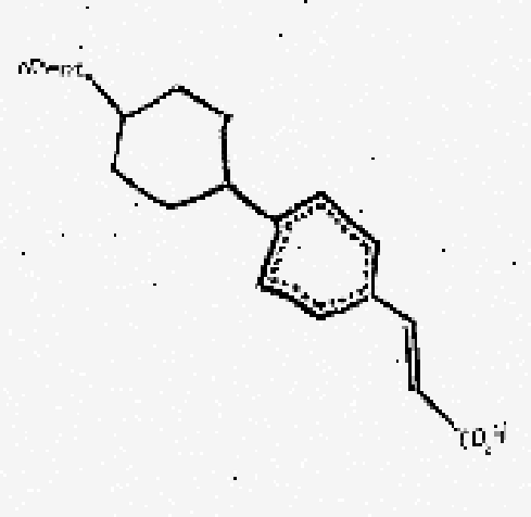 CCCCCC1CCC(c2ccc(/C=C/C(=O)O)cc2)CC1